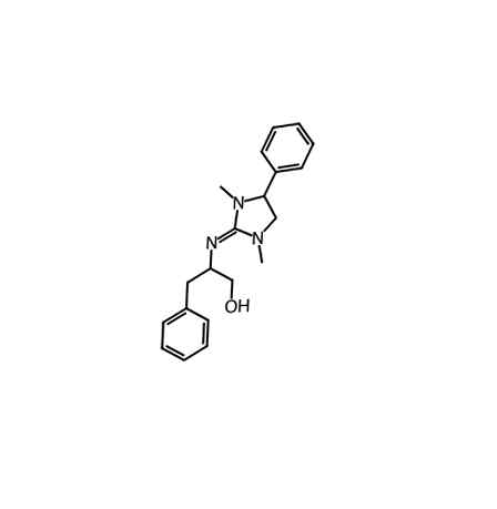 CN1CC(c2ccccc2)N(C)/C1=N/C(CO)Cc1ccccc1